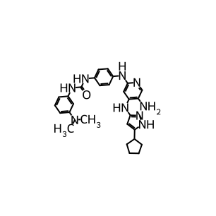 CN(C)c1cccc(NC(=O)Nc2ccc(Nc3cc(Nc4cc(C5CCCC5)[nH]n4)c(N)cn3)cc2)c1